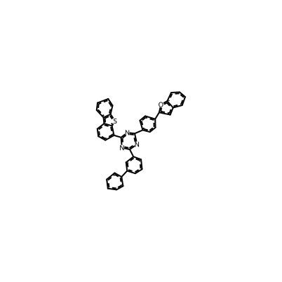 c1ccc(-c2cccc(-c3nc(-c4ccc(-c5cc6ccccc6o5)cc4)nc(-c4cccc5c4sc4ccccc45)n3)c2)cc1